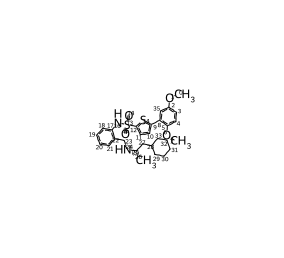 COc1ccc(OC)c(-c2ccc(S(=O)(=O)Nc3ccccc3CN[C@@H](C)CC3CCCCC3)s2)c1